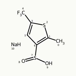 Cc1sc(C(F)(F)F)cc1S(=O)O.[NaH]